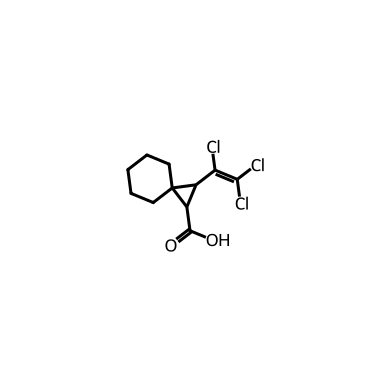 O=C(O)C1C(C(Cl)=C(Cl)Cl)C12CCCCC2